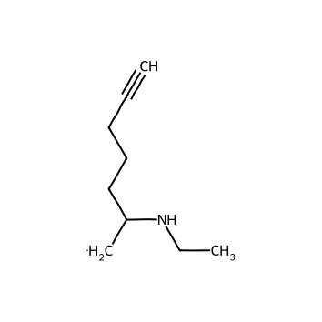 C#CCCCC([CH2])NCC